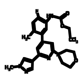 Cc1cc(F)c(NC(=O)OCC(Cl)(Cl)Cl)cc1-c1cc(-c2cnn(C)c2)nc(N2CCOCC2)c1